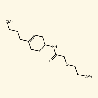 COCCCC1=CCC(NC(=O)COCCOC)CC1